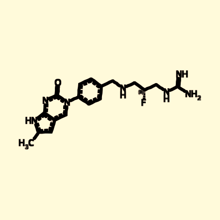 Cc1cc2cn(-c3ccc(CNC[C@@H](F)CNC(=N)N)cc3)c(=O)nc2[nH]1